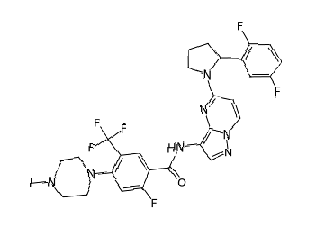 O=C(Nc1cnn2ccc(N3CCCC3c3cc(F)ccc3F)nc12)c1cc(C(F)(F)F)c(N2CCN(I)CC2)cc1F